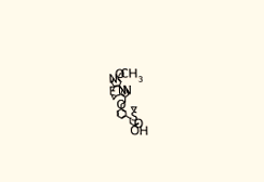 COc1cc(-n2ncc(COc3cccc(C(CC(=O)O)SC4CC4)c3)c2C2CC2)c(F)cn1